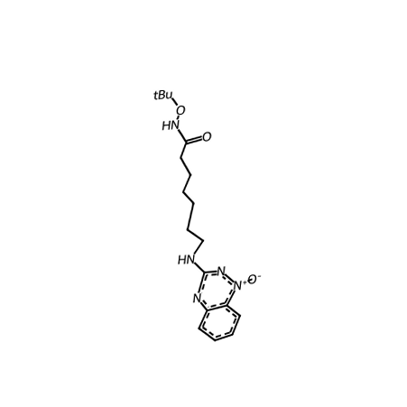 CC(C)(C)ONC(=O)CCCCCCNc1nc2ccccc2[n+]([O-])n1